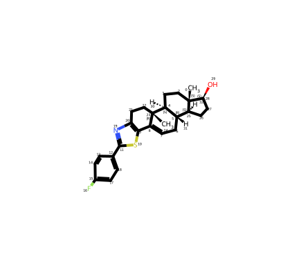 C[C@]12CC[C@H]3[C@@H](CC=C4c5sc(-c6ccc(F)cc6)nc5CC[C@@]43C)[C@@H]1CC[C@@H]2O